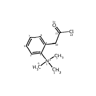 C[N+](C)(C)c1ccccc1CC(=O)Cl